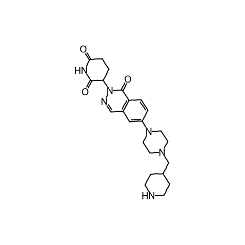 O=C1CCC(n2ncc3cc(N4CCN(CC5CCNCC5)CC4)ccc3c2=O)C(=O)N1